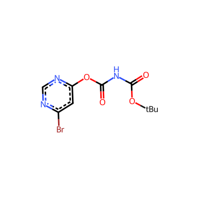 CC(C)(C)OC(=O)NC(=O)Oc1cc(Br)ncn1